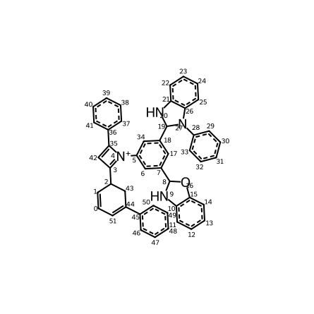 C1=CC(C2=[N+](c3cc(C4Nc5ccccc5O4)cc(C4Nc5ccccc5N4c4ccccc4)c3)C(c3ccccc3)=C2)CC(c2ccccc2)=C1